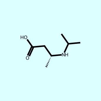 CC(C)N[C@H](C)CC(=O)O